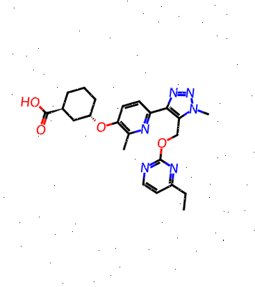 CCc1ccnc(OCc2c(-c3ccc(O[C@H]4CCC[C@H](C(=O)O)C4)c(C)n3)nnn2C)n1